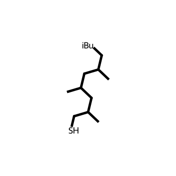 CCC(C)CC(C)CC(C)CC(C)CS